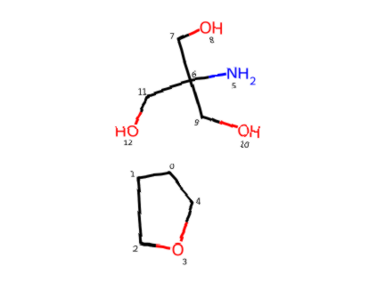 C1CCOC1.NC(CO)(CO)CO